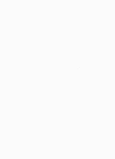 CCOP(=O)(OCC)C(F)(F)c1cc2cc(/C=C/c3cccc(C)c3)ccc2cc1Br